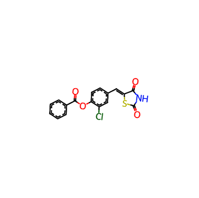 O=C1NC(=O)C(=Cc2ccc(OC(=O)c3ccccc3)c(Cl)c2)S1